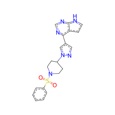 O=S(=O)(c1ccccc1)N1CCC(n2cc(-c3ncnc4[nH]ccc34)cn2)CC1